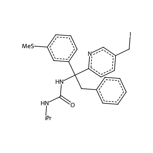 CSc1cccc(C(Cc2ccccc2)(NC(=O)NC(C)C)c2ccc(CI)cn2)c1